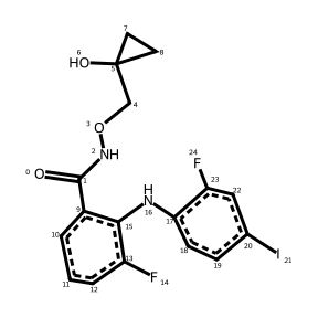 O=C(NOCC1(O)CC1)c1cccc(F)c1Nc1ccc(I)cc1F